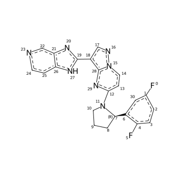 Fc1ccc(F)c([C@H]2CCCN2c2ccn3ncc(-c4nc5cnccc5[nH]4)c3n2)c1